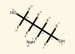 OC(F)(F)C(F)(F)C(F)(F)C(O)(F)F.[NaH]